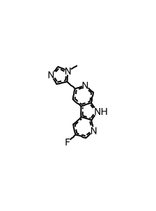 Cn1cncc1-c1cc2c(cn1)[nH]c1ncc(F)cc12